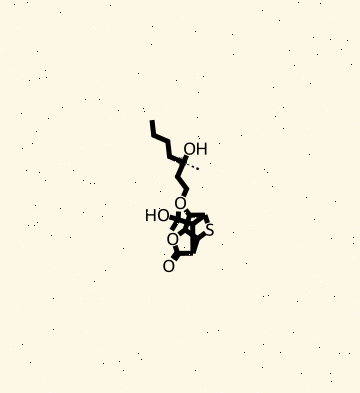 CCCC[C@@](C)(O)CCOC1C2OC(=O)C3C2SC1C3C(C)(C)O